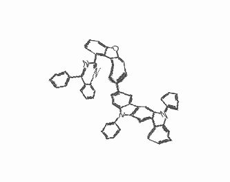 c1ccc(-c2nc(-c3cccc4oc5ccc(-c6ccc7c(c6)c6cc8c(cc6n7-c6ccccc6)c6ccccc6n8-c6ccccc6)cc5c34)nc3ccccc23)cc1